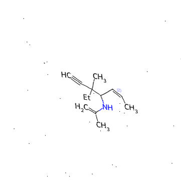 C#CC(C)(CC)C(/C=C\C)NC(=C)C